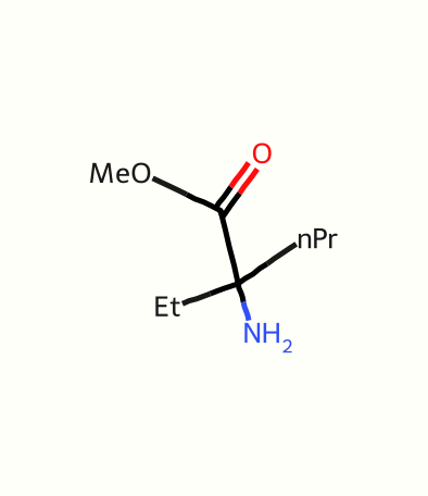 CCCC(N)(CC)C(=O)OC